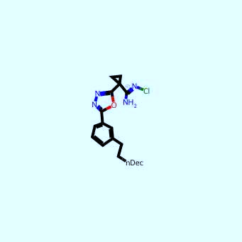 CCCCCCCCCCCCc1cccc(-c2nnc(C3(/C(N)=N/Cl)CC3)o2)c1